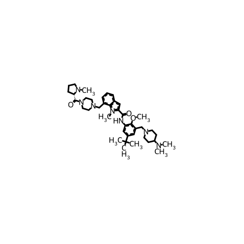 COc1c(CN2CCC(N(C)C)CC2)cc(C(C)(C)C)cc1NC(=O)c1cc2cccc(CN3CCN(C(=O)[C@@H]4CCCN4C)CC3)c2n1C